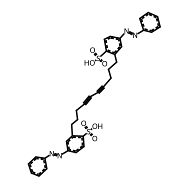 O=S(=O)(O)c1ccc(N=Nc2ccccc2)cc1CCCC#CC#CCCCc1cc(N=Nc2ccccc2)ccc1S(=O)(=O)O